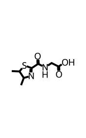 CC1N=C(C(=O)NCC(=O)O)SC1C